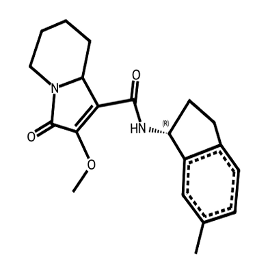 COC1=C(C(=O)N[C@@H]2CCc3ccc(C)cc32)C2CCCCN2C1=O